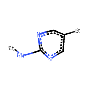 CCNc1ncc(CC)cn1